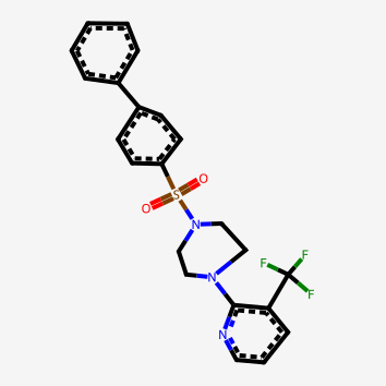 O=S(=O)(c1ccc(-c2ccccc2)cc1)N1CCN(c2ncccc2C(F)(F)F)CC1